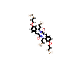 O=C1[C@@H](Cc2ccc(OCCCS)cc2)N(CCCS)C(=O)[C@@H](Cc2ccc(OCCCS)cc2)N1CCCS